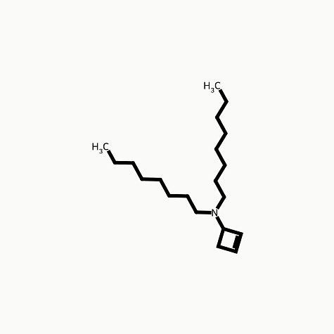 CCCCCCCCN(CCCCCCCC)C1C=CC1